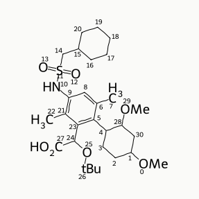 COC1CCC(c2c(C)cc(NS(=O)(=O)CC3CCCCC3)c(C)c2C(OC(C)(C)C)C(=O)O)C(OC)C1